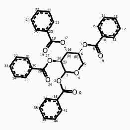 O=C(OC1OC[C@@H](OC(=O)c2ccccc2)[C@@H](OC(=O)c2ccccc2)[C@@H]1OC(=O)c1ccccc1)c1ccccc1